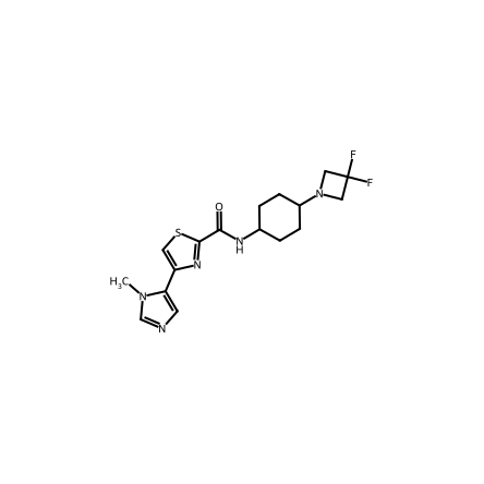 Cn1cncc1-c1csc(C(=O)NC2CCC(N3CC(F)(F)C3)CC2)n1